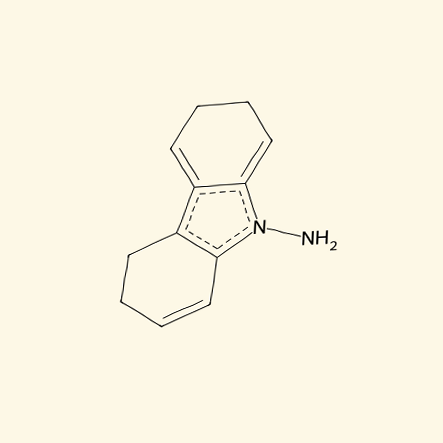 Nn1c2c(c3c1=CCCC=3)CCC=C2